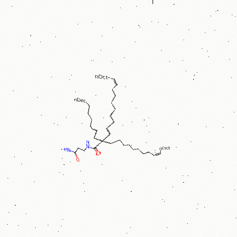 CCCCCCCC/C=C\CCCCCCCCC(CCCCCCCC/C=C\CCCCCCCC)(CCCCCCCCCCCCCCCC)C(=O)N[CH]CC([NH])=O